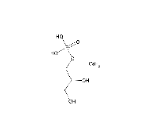 O=P(O)(O)OCC(O)CO.[CaH2]